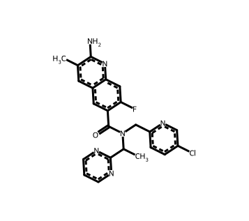 Cc1cc2cc(C(=O)N(Cc3ccc(Cl)cn3)C(C)c3ncccn3)c(F)cc2nc1N